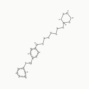 c1ccc(COc2ccc(OCCCCCCCN3CCOCC3)cc2)cc1